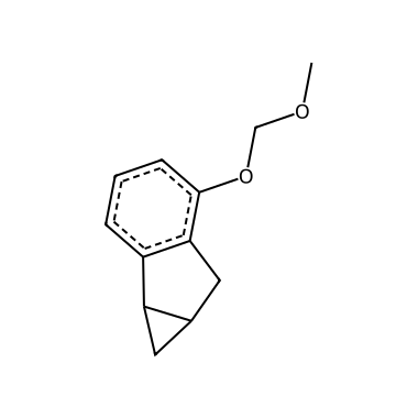 COCOc1cccc2c1CC1CC21